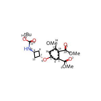 COC(=O)c1cc(O[C@H]2C[C@H](NC(=O)OC(C)(C)C)C2)cc(OC)c1C(=O)OC